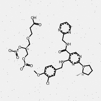 O=C(O)CCOC[C@@H](CO[N+](=O)[O-])O[N+](=O)[O-].[CH2][C@H]1CCCN1c1ncc(C(=O)NCc2ncccn2)c(NCc2ccc(OC)c(Cl)c2)n1